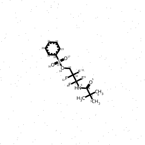 CC(C)(C)C(=O)NC(F)(F)C(F)(F)COS(=O)(=O)c1ccccc1